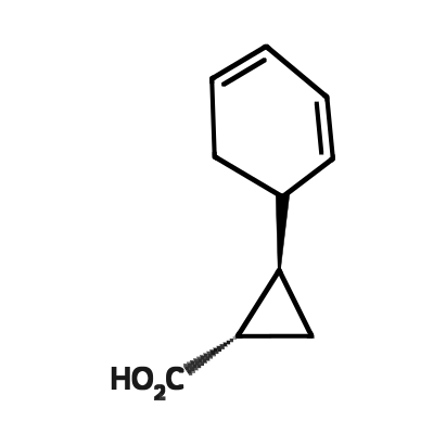 O=C(O)[C@H]1C[C@@H]1C1C=CC=CC1